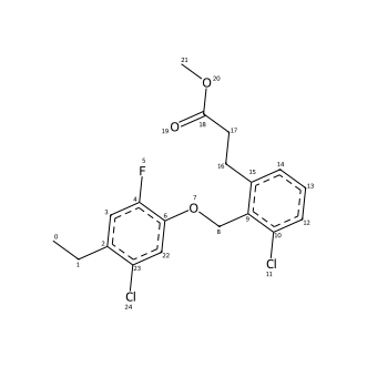 CCc1cc(F)c(OCc2c(Cl)cccc2CCC(=O)OC)cc1Cl